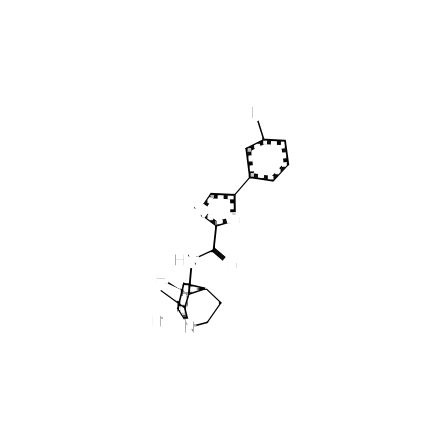 C[C@H]1[C@H](NC(=O)c2ncc(-c3cccc(F)c3)o2)C2CCN1CC2